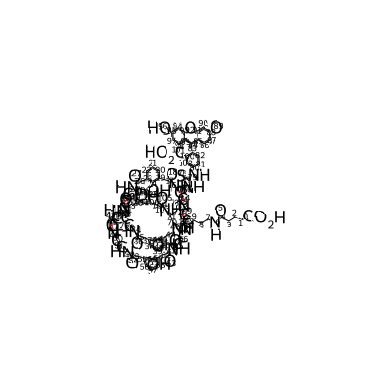 O=C(O)CCCC(=O)NCCCCC1CN2CCNC(=O)c3cccc(c3O)C(=O)NCCN(CCNC(=O)c3cccc(c3O)C(=O)N1)CCN1CCNC(=O)c3cccc(c3O)C(=O)NCCN(CC2)CC(CCCCNC(=S)Nc2ccc(-c3c4ccc(=O)cc-4oc4cc(O)ccc34)c(C(=O)O)c2)NC(=O)c2cccc(c2O)C(=O)NCC1